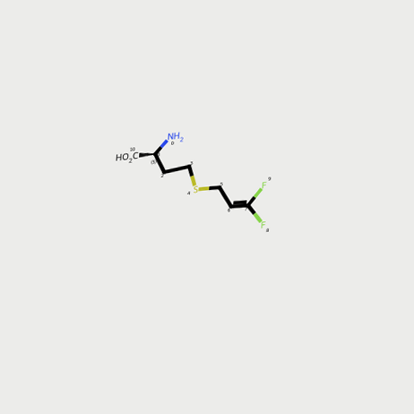 N[C@@H](CCSCC=C(F)F)C(=O)O